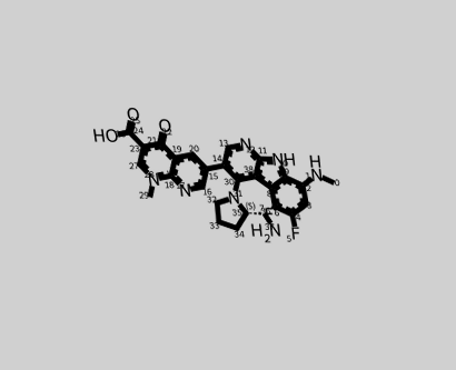 CNc1cc(F)c(F)c2c1[nH]c1ncc(-c3cnc4c(c3)c(=O)c(C(=O)O)cn4C)c(N3CCC[C@H]3CN)c12